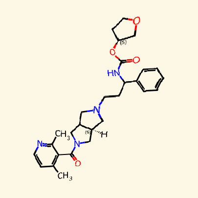 Cc1ccnc(C)c1C(=O)N1CC2CN(CCC(NC(=O)O[C@H]3CCOC3)c3ccccc3)C[C@H]2C1